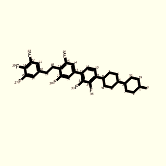 CC1CCC(C2CCC(c3ccc(-c4cc(F)c(CCc5cc(F)c(F)c(F)c5)c(F)c4)c(F)c3F)CC2)CC1